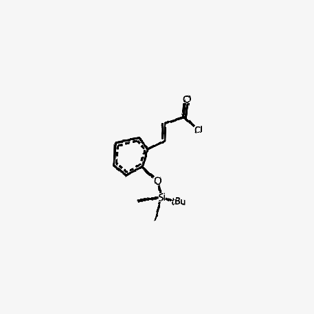 CC(C)(C)[Si](C)(C)Oc1ccccc1C=CC(=O)Cl